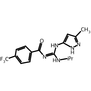 Cc1cc(N/C(=N\C(=O)c2ccc(C(F)(F)F)cc2)NC(C)C)[nH]n1